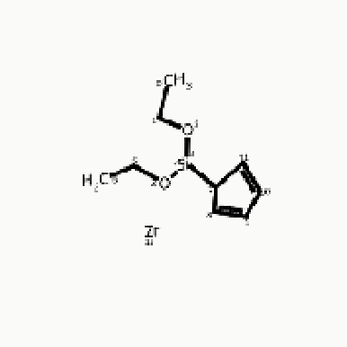 CCO[Si](OCC)C1C=CC=C1.[Zr]